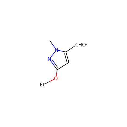 CCOc1cc([C]=O)n(C)n1